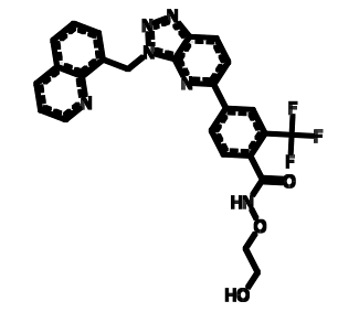 O=C(NOCCO)c1ccc(-c2ccc3nnn(Cc4cccc5cccnc45)c3n2)cc1C(F)(F)F